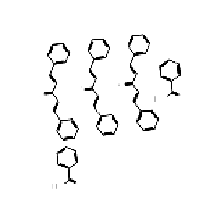 O=C(C=Cc1ccccc1)C=Cc1ccccc1.O=C(C=Cc1ccccc1)C=Cc1ccccc1.O=C(C=Cc1ccccc1)C=Cc1ccccc1.O=C(O)c1ccccc1.O=C(O)c1ccccc1